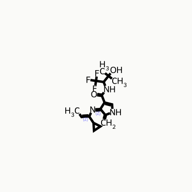 C=C1NC=C(C(=O)NC(C(C)(C)O)C(F)(F)F)/C1=N/C(=C\C)C1CC1